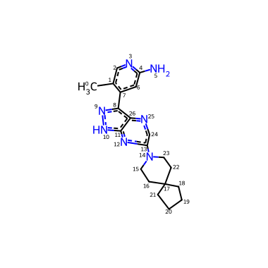 Cc1cnc(N)cc1-c1n[nH]c2nc(N3CCC4(CCCC4)CC3)cnc12